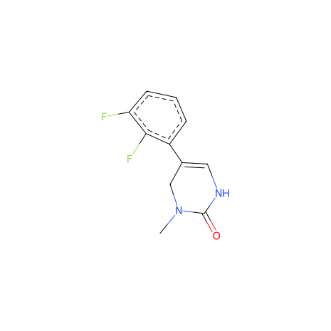 CN1CC(c2cccc(F)c2F)=CNC1=O